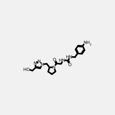 Nc1ccc(CNC(=O)NCC(=O)N2CCCC2Cn2cc(CO)nn2)cc1